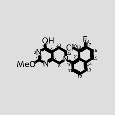 COc1nc(O)c2c(n1)CN(c1cccc3ccc(F)c(Cl)c13)CC2